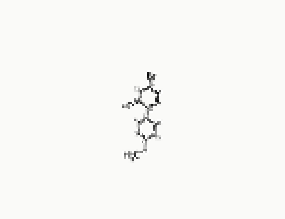 CCc1ccc(-c2ccc(Br)cc2F)cc1